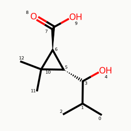 CC(C)C(O)[C@H]1[C@H](C(=O)O)C1(C)C